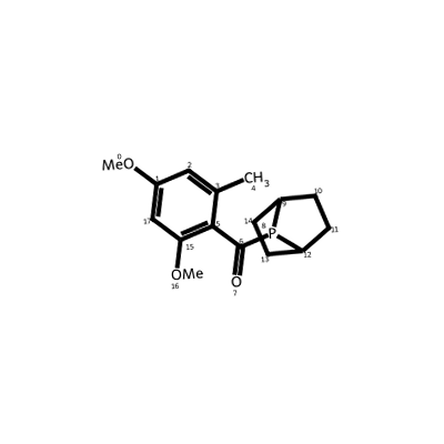 COc1cc(C)c(C(=O)P2C3CCC2CC3)c(OC)c1